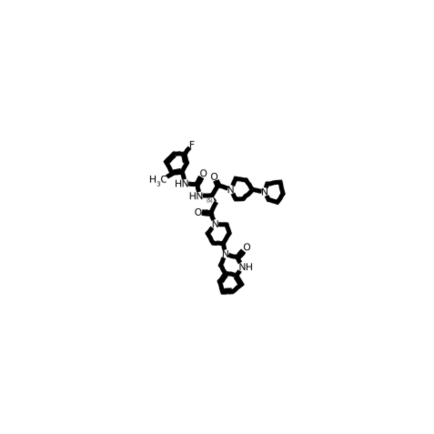 Cc1ccc(F)cc1NC(=O)N[C@@H](CC(=O)N1CCC(N2Cc3ccccc3NC2=O)CC1)C(=O)N1CCC(N2CCCCC2)CC1